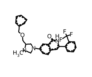 CN1CN(c2ccc3cc(-c4ccccc4C(F)(F)F)[nH]c(=O)c3c2)CC1COCc1ccccc1